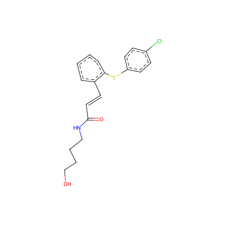 O=C(C=Cc1ccccc1Sc1ccc(Cl)cc1)NCCCCO